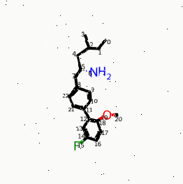 CCC(C)C[C@H](N)Cc1ccc(-c2cc(F)ccc2OC)cc1